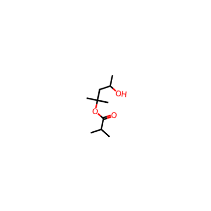 CC(O)CC(C)(C)OC(=O)C(C)C